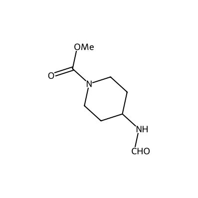 COC(=O)N1CCC(NC=O)CC1